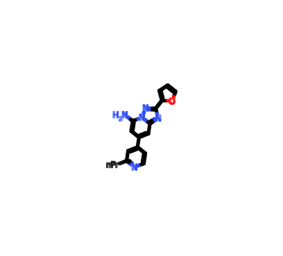 CCCc1cc(-c2cc(N)n3nc(-c4ccco4)nc3c2)ccn1